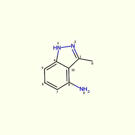 Cc1n[nH]c2cccc(N)c12